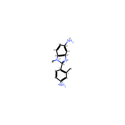 Cc1cc(N)ccc1-c1nc2cc(N)ccc2n1C